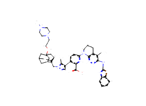 Cc1c(Nc2nc3ccccc3s2)nnc2c1CCCN2c1ccc(-c2cnn(CC3CC4CC5CC3CC(OCCN3CCN(C)CC3)(C4)C5)c2C)c(C(=O)O)n1